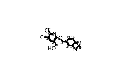 OCc1cc(Cl)c(Cl)nc1OCc1ccc2nonc2c1